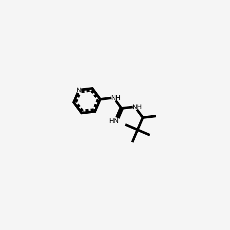 CC(NC(=N)Nc1cccnc1)C(C)(C)C